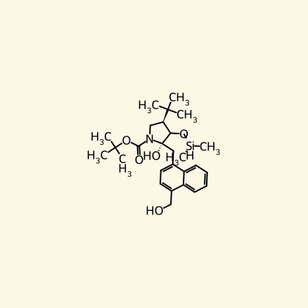 C[SiH](C)OC1[C@H](C(C)(C)C)CN(C(=O)OC(C)(C)C)[C@]1(O)Cc1ccc(CO)c2ccccc12